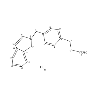 CCCCCCCCCCCCc1ccc(CN2C=Cc3ccccc3C2)cc1.Cl